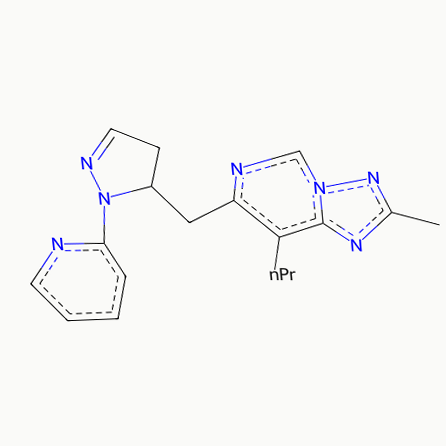 CCCc1c(CC2CC=NN2c2ccccn2)ncn2nc(C)nc12